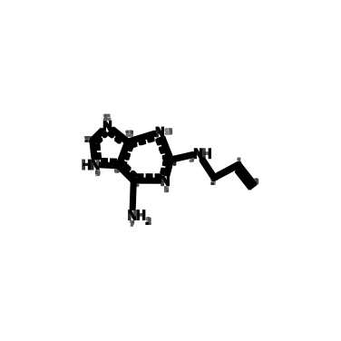 C=CCNc1nc(N)c2[nH]cnc2n1